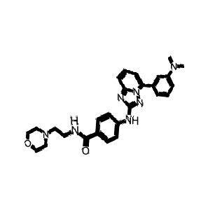 CN(C)c1cccc(-c2cccc3nc(Nc4ccc(C(=O)NCCN5CCOCC5)cc4)nn23)c1